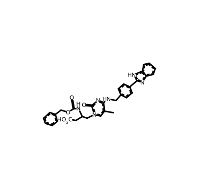 Cc1cn(CC(CC(=O)O)NC(=O)OCc2ccccc2)c(=O)nc1NCc1ccc(-c2nc3ccccc3[nH]2)cc1